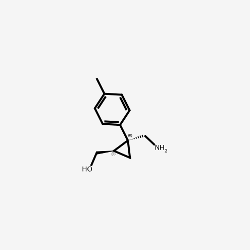 Cc1ccc([C@@]2(CN)C[C@H]2CO)cc1